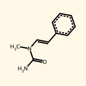 CN(C=Cc1ccccc1)C(N)=O